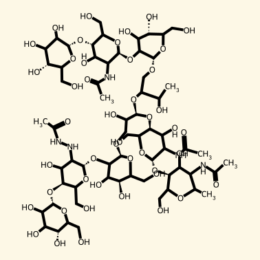 CC(=O)NNC1C(O)[C@H](O[C@@H]2OC(CO)[C@H](O)C(O)C2O)C(CO)O[C@H]1OC1C(O)[C@H](O)C(CO)O[C@@H]1OCC(O)[C@@H](OC(CO[C@H]1OC(CO)[C@@H](O)C(O)C1O[C@@H]1OC(CO)[C@@H](O[C@@H]2OC(CO)[C@H](O)C(O)C2O)C(O)C1NC(C)=O)C(C)O)O[C@@H]1C(CO)O[C@@H](O[C@@H]2C(CO)OC(C)C(NC(C)=O)C2O)C(NC(C)=O)C1O